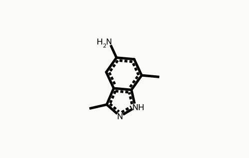 Cc1n[nH]c2c(C)cc(N)cc12